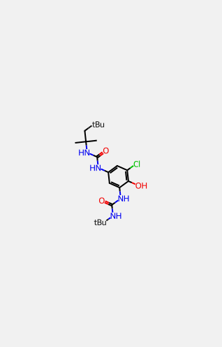 CC(C)(C)CC(C)(C)NC(=O)Nc1cc(Cl)c(O)c(NC(=O)NC(C)(C)C)c1